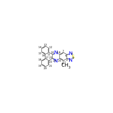 Cc1c2nsnc2cc2nc3c4ccccc4c4ccccc4c3nc12